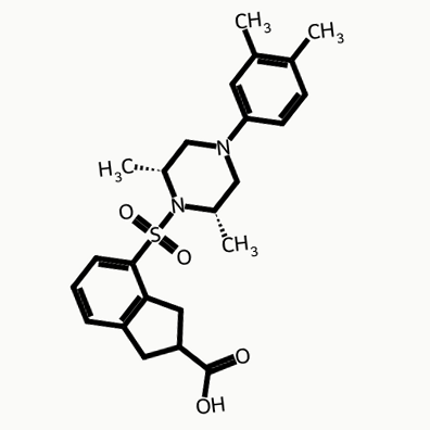 Cc1ccc(N2C[C@@H](C)N(S(=O)(=O)c3cccc4c3CC(C(=O)O)C4)[C@@H](C)C2)cc1C